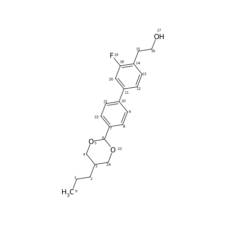 CCCC1COC(c2ccc(-c3ccc(CCO)c(F)c3)cc2)OC1